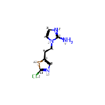 Nc1nccn1CCc1cnc(Cl)s1